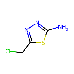 Nc1nnc(CCl)s1